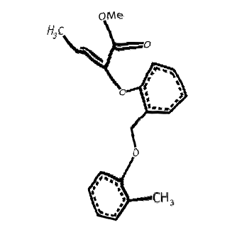 CC=C(Oc1ccccc1COc1ccccc1C)C(=O)OC